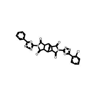 O=C1C2C3C=CC(C2C(=O)N1c1nnc(-c2ccccc2)o1)C1C(=O)N(c2nnc(-c4ccccc4Cl)o2)C(=O)C31